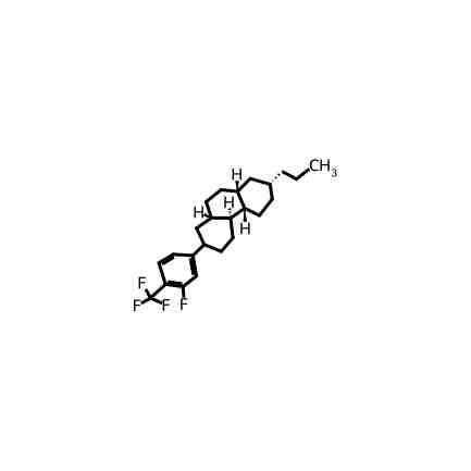 CCC[C@@H]1CC[C@H]2[C@H](CC[C@H]3CC(c4ccc(C(F)(F)F)c(F)c4)CC[C@@H]32)C1